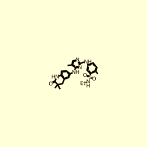 CCNS(=O)(=O)c1cc(Nc2ncc(C)c(Nc3ccc4c(c3)CC(C)(C)C(=O)N4)n2)ccc1C